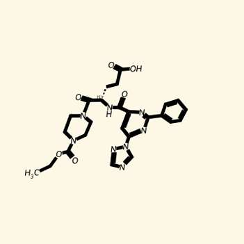 CCOC(=O)N1CCN(C(=O)[C@H](CCC(=O)O)NC(=O)c2cc(-n3cncn3)nc(-c3ccccc3)n2)CC1